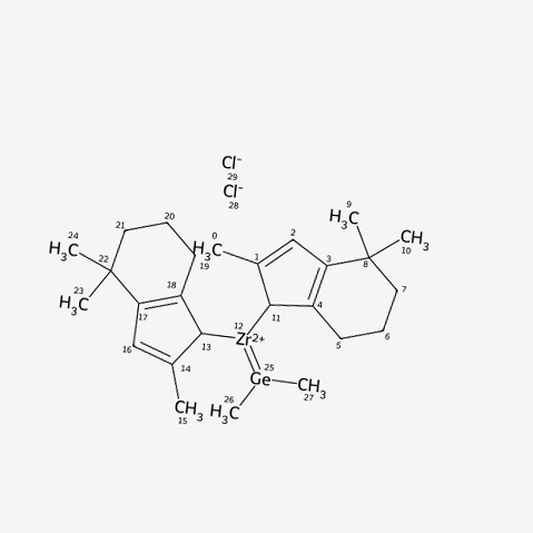 CC1=CC2=C(CCCC2(C)C)[CH]1[Zr+2]([CH]1C(C)=CC2=C1CCCC2(C)C)=[Ge]([CH3])[CH3].[Cl-].[Cl-]